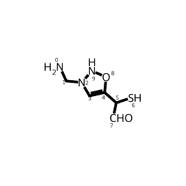 NCN1C=C([C](S)C=O)ON1